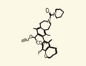 Cc1c(-c2c(C)c3c(c(C)c2C(OC(C)(C)C)C(=O)O)CCN(C(=O)N2CCCCC2)CC3)cc(F)c2c1CCCO2